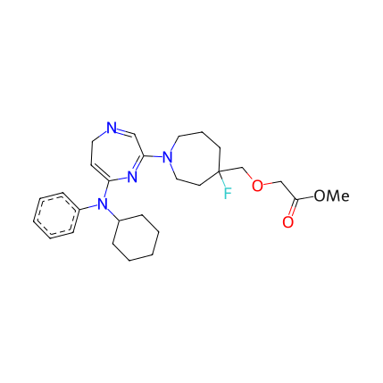 COC(=O)COCC1(F)CCCN(C2=NC(N(c3ccccc3)C3CCCCC3)=CCN=C2)CC1